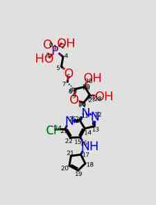 O=P(O)(O)CCOC[C@H]1O[C@@H](n2ncc3c(NC4CC=CC4)cc(Cl)nc32)[C@H](O)[C@@H]1O